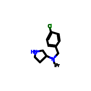 CC(C)N(Cc1ccc(Cl)cc1)C1CCNC1